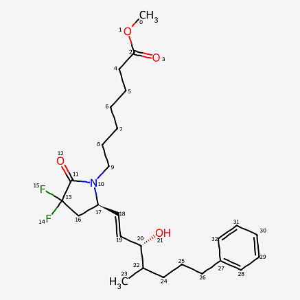 COC(=O)CCCCCCN1C(=O)C(F)(F)C[C@@H]1/C=C/[C@H](O)C(C)CCCc1ccccc1